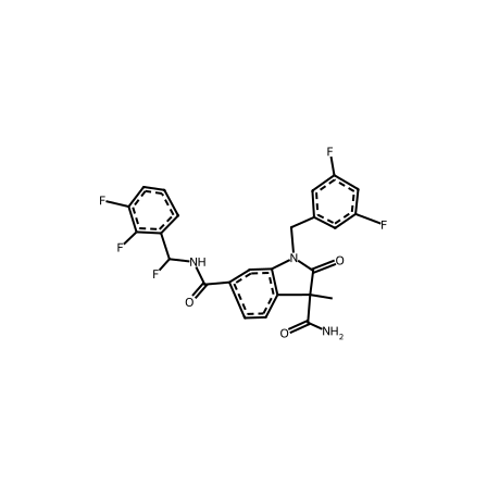 CC1(C(N)=O)C(=O)N(Cc2cc(F)cc(F)c2)c2cc(C(=O)NC(F)c3cccc(F)c3F)ccc21